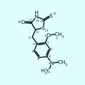 COc1cc(N(C)C)ccc1CC1SC(=S)NC1=O